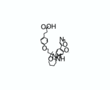 COc1cc(NC2(NC(C)(C)CCOc3ccc(CCC(=O)O)cc3)CCCCO2)ccc1-c1cnco1